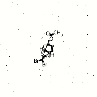 CC(=O)OC[C@H]1[C][C][C@H]2N=C(C(Br)Br)S[C@H]2O1